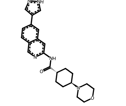 O=C(Nc1cc2cc(-c3cn[nH]c3)ccc2cn1)[C@H]1CC[C@H](N2CCOCC2)CC1